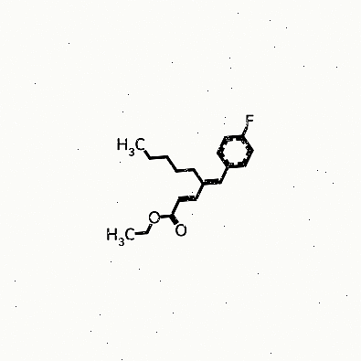 CCCCCC(/C=C/C(=O)OCC)=C\c1ccc(F)cc1